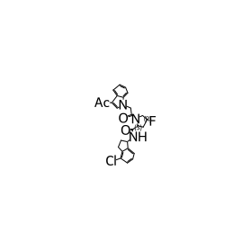 CC(=O)c1cn(CC(=O)N2C[C@H](F)C[C@H]2C(=O)NC2CCc3c(Cl)cccc32)c2ccccc12